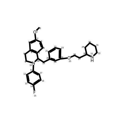 COc1ccc2c(c1)CCN(c1ccc(F)cc1)C2Cc1cccc(OCCC2CCCCN2)c1